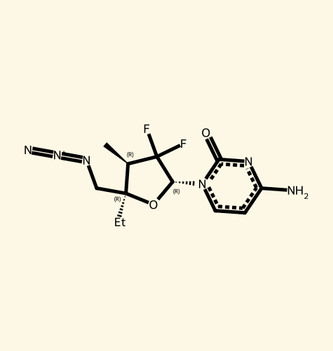 CC[C@@]1(CN=[N+]=[N-])O[C@@H](n2ccc(N)nc2=O)C(F)(F)[C@@H]1C